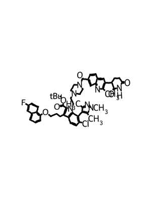 Cc1nc2cc(C(=O)N3CCN(CCn4c(C(=O)OC(C)(C)C)c(CCCOc5cccc6cc(F)ccc56)c5ccc(Cl)c(-c6c(C)nn(C)c6C)c54)CC3)ccc2cc1C1CCC(=O)NC1=O